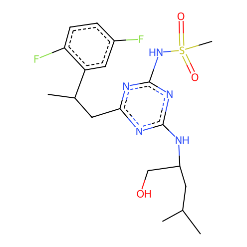 CC(C)CC(CO)Nc1nc(CC(C)c2cc(F)ccc2F)nc(NS(C)(=O)=O)n1